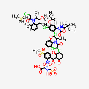 CC(C)Oc1cc(-n2nc(C(C)(C)C)oc2=O)c(Cl)cc1Cl.CC1COc2ccccc2N1C(=O)C(Cl)Cl.CCc1cccc(C)c1N(C(=O)CCl)C(C)COC.CS(=O)(=O)c1ccc(C(=O)C2C(=O)CCCC2=O)c([N+](=O)[O-])c1.C[S+](C)C.O=C(O)CNCP(=O)([O-])O